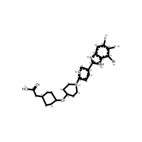 O=C(O)CC1CCC(OC2CCN(c3ccc(-c4nc5cc(F)c(F)c(Br)c5[nH]4)cn3)CC2)CC1